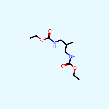 CCOC(=O)NCC(C)CNC(=O)OCC